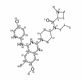 CCCN(C(=O)C1CCN1C)C1CCN(c2nc(Nc3ccc(Cl)cn3)c3cc(F)c(OC)cc3n2)CC1